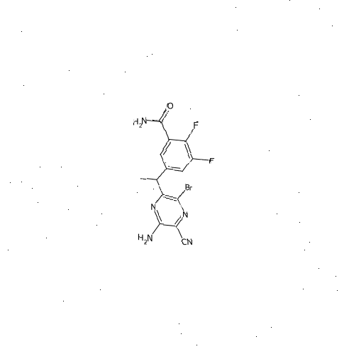 CC(c1cc(F)c(F)c(C(N)=O)c1)c1nc(N)c(C#N)nc1Br